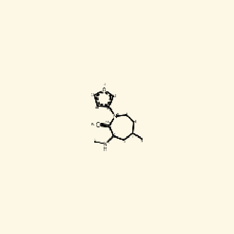 CNC1CC(C)CCN(c2ccoc2)C1=O